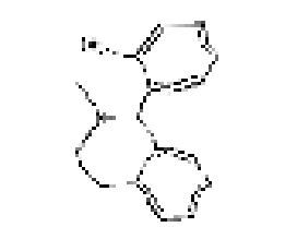 CN1CCc2ccccc2C1c1ccccc1C#N